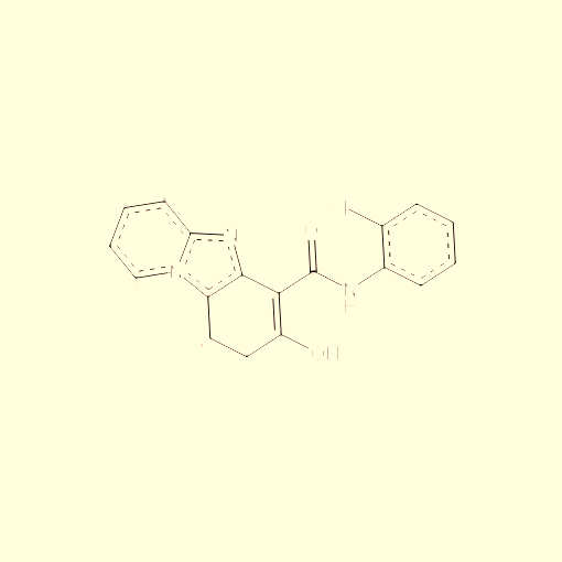 O=C(Nc1ccccc1Cl)C1=C(O)CCc2c1nc1ccccn21